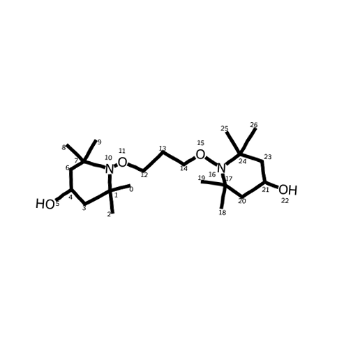 CC1(C)CC(O)CC(C)(C)N1OCCCON1C(C)(C)CC(O)CC1(C)C